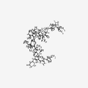 Cc1nc(C(=O)N2CCC[C@H]2C(=O)N[C@@H](CC2CCCCC2)C(=O)N[C@@H](CC(C)C)C(=O)NC(C)(C)C(=O)N[C@@H](CC(C)C)C(=O)N[C@@H](CC(C)C)C(=O)NC(C)(C)C(=O)NC(C)(C)C(=O)NCCC(=O)NC2(CN(C)C)CCC2)co1